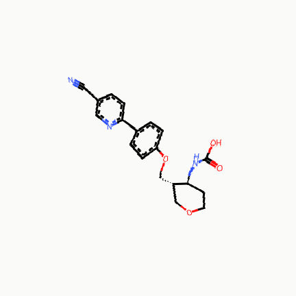 N#Cc1ccc(-c2ccc(OC[C@H]3COCC[C@@H]3NC(=O)O)cc2)nc1